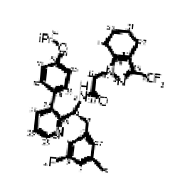 Cc1cc(F)cc(C[C@H](NC(=O)Cn2nc(C(F)(F)F)c3c2CCCC3)c2ncccc2-c2ccc(OC(C)C)cc2)c1